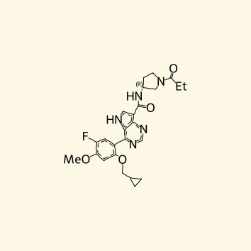 CCC(=O)N1CC[C@@H](NC(=O)c2c[nH]c3c(-c4cc(F)c(OC)cc4OCC4CC4)ncnc23)C1